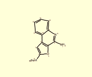 CCCCCc1cc2c(o1)c(N)nc1ccccc12